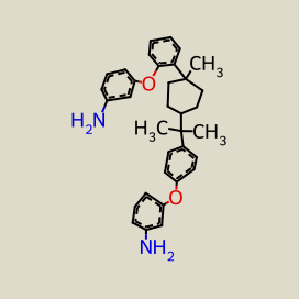 CC1(c2ccccc2Oc2cccc(N)c2)CCC(C(C)(C)c2ccc(Oc3cccc(N)c3)cc2)CC1